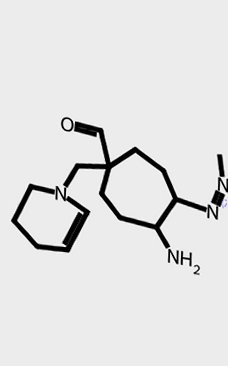 C/N=N\C1CCC(C=O)(CN2C=CCCC2)CCC1N